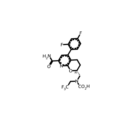 NC(=O)c1cc(-c2ccc(F)cc2F)c2c(n1)O[C@@H](CN(CC(F)(F)F)C(=O)O)CC2